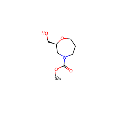 CC(C)(C)OC(=O)N1CCCO[C@H](CO)C1